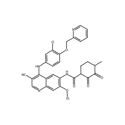 CCOc1cc2ncc(C#N)c(Nc3ccc(OCc4ccccn4)c(Cl)c3)c2cc1NC(=O)C1CCN(C)C(=O)C1=O